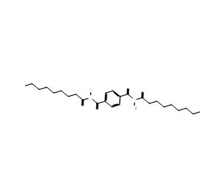 CCCCCCCCC(=O)N(N)C(=O)c1ccc(C(=O)N(N)C(=O)CCCCCCCC)cc1